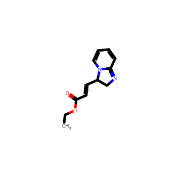 CCOC(=O)/C=C/C1CN=C2C=CC=CN21